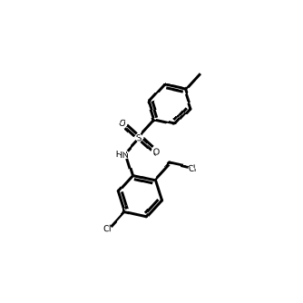 Cc1ccc(S(=O)(=O)Nc2cc(Cl)ccc2CCl)cc1